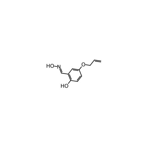 C=CCOc1ccc(O)c(C=NO)c1